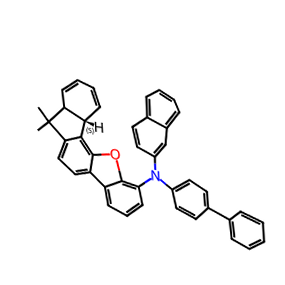 CC1(C)c2ccc3c(oc4c(N(c5ccc(-c6ccccc6)cc5)c5ccc6ccccc6c5)cccc43)c2[C@H]2C=CC=CC21